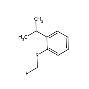 CC(C)c1ccccc1SCF